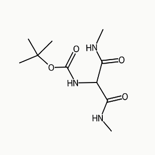 CNC(=O)C(NC(=O)OC(C)(C)C)C(=O)NC